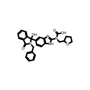 O=C(O)N(CC1CCCO1)c1nc2cc(C3(O)c4ccccc4C(=O)N3Cc3ccccc3)ccc2[nH]1